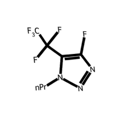 CCCn1nnc(F)c1C(F)(F)C(F)(F)F